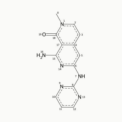 Cn1ccc2cc(Nc3ncccn3)nc(N)c2c1=O